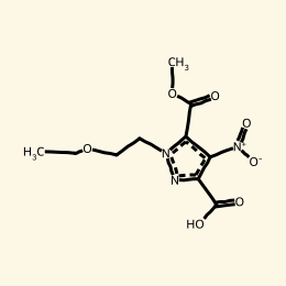 CCOCCn1nc(C(=O)O)c([N+](=O)[O-])c1C(=O)OC